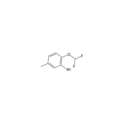 Cc1ccc(OC(F)F)c(C(C)C)c1